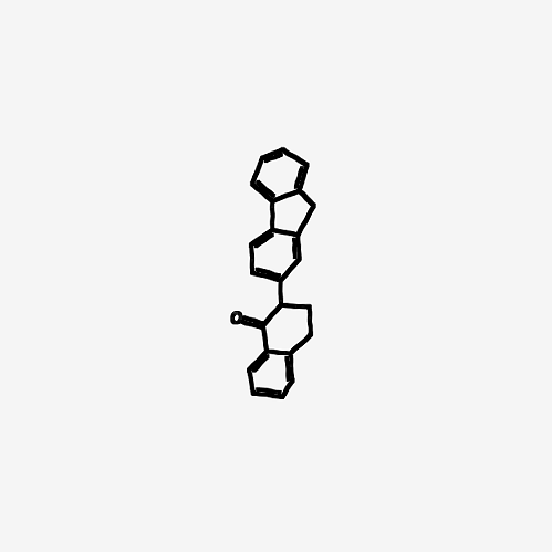 O=C1c2ccccc2CCC1c1ccc2c(c1)Cc1ccccc1-2